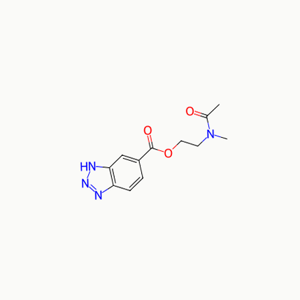 CC(=O)N(C)CCOC(=O)c1ccc2nn[nH]c2c1